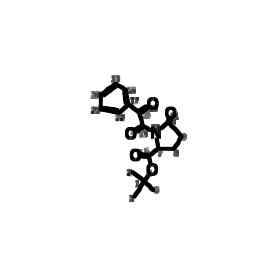 CC(C)(C)OC(=O)C1CCC(=O)N1C(=O)C(=O)c1ccccc1